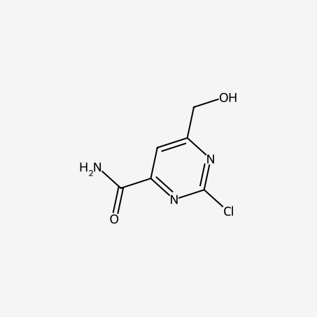 NC(=O)c1cc(CO)nc(Cl)n1